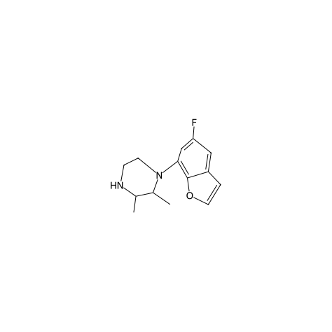 CC1NCCN(c2cc(F)cc3ccoc23)C1C